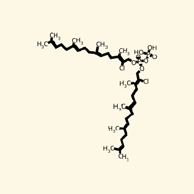 CC(C)=CCC/C(C)=C/CC/C(C)=C/CC/C(C)=C(\Cl)COP(=O)(OC/C(Cl)=C(\C)CC/C=C(\C)CC/C=C(\C)CCC=C(C)C)OP(=O)(O)O